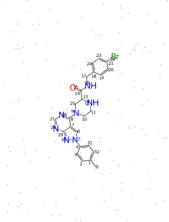 Cc1ccc(-n2cc3c(N4CCNC(C(=O)NCc5ccc(Br)cc5)C4)ncnc3n2)cc1